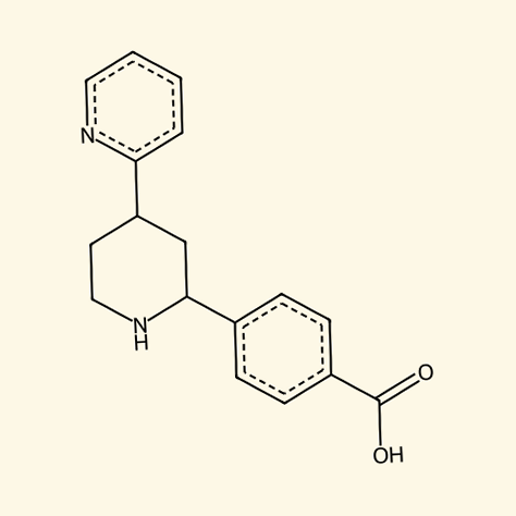 O=C(O)c1ccc(C2CC(c3ccccn3)CCN2)cc1